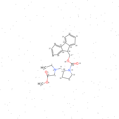 CCN(CC(=O)OC)C[C@H]1CCCN1C(=O)OCC1c2ccccc2-c2ccccc21